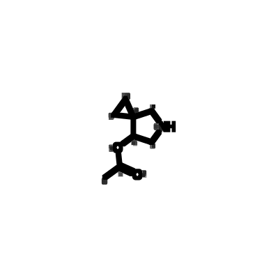 CC(=O)OC1CNCC12CC2